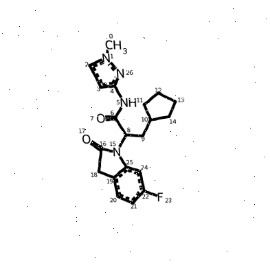 Cn1ccc(NC(=O)C(CC2CCCC2)N2C(=O)Cc3ccc(F)cc32)n1